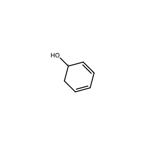 O[C]1C=CC=CC1